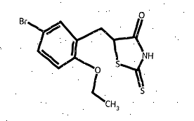 CCOc1ccc(Br)cc1CC1SC(=S)NC1=O